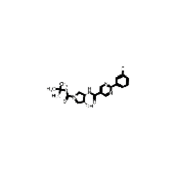 CC(C)(C)OC(=O)N1C[C@@H](O)[C@@H](NC(=O)c2cnc(-c3cccc(F)c3)nc2)C1